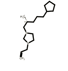 C=CCN1CCN(C[C@H](C)CCCC2CCCC2)C1